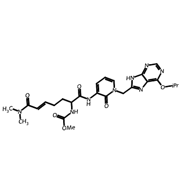 COC(=O)NC(CC/C=C/C(=O)N(C)C)C(=O)Nc1cccn(Cc2nc3c(OC(C)C)ncnc3[nH]2)c1=O